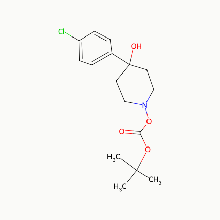 CC(C)(C)OC(=O)ON1CCC(O)(c2ccc(Cl)cc2)CC1